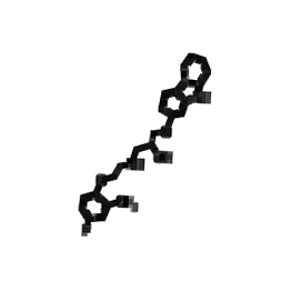 Cc1cc(F)ccc1OCCNCC(O)COc1ccc2c(c1)[nH]c1ccccc12